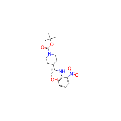 CC(C)(C)OC(=O)N1CCC([C@@H](CO)Nc2ccccc2[N+](=O)[O-])CC1